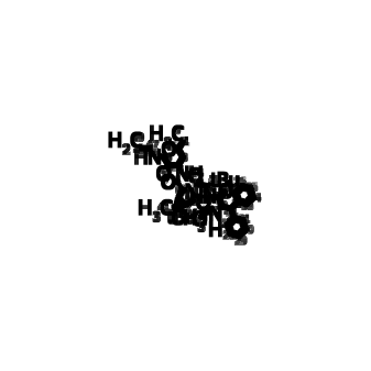 C=CCCC(NC(=O)[C@@H]1C2C(CN1C(=O)[C@@H](NC(=O)C(NC(=O)OC(C)(C)C)C(c1ccccc1)c1ccccc1)C(C)(C)C)C2(C)C)C(=O)C(=O)NCC=C